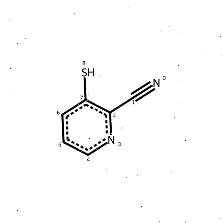 N#Cc1ncccc1S